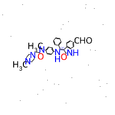 CN1CCN(CC(=O)N(C)c2ccc(N/C(=C3\C(=O)Nc4cc(C=O)ccc43)c3ccccc3)cc2)CC1